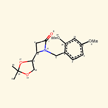 COc1ccc(CN2C(=O)CC2C2COC(C)(C)O2)c(OC)c1